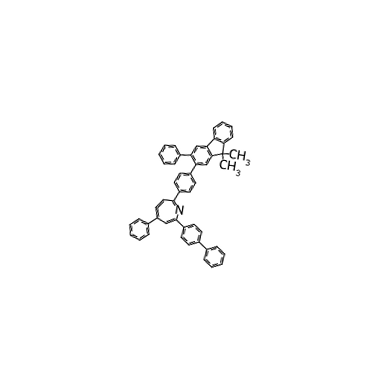 CC1(C)c2ccccc2-c2cc(-c3ccccc3)c(-c3ccc(C4=NC(c5ccc(-c6ccccc6)cc5)=CC(c5ccccc5)=C=C4)cc3)cc21